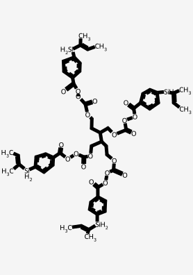 CC=C(C)[SiH2]c1ccc(C(=O)OOC(=O)OCCC(COC(=O)OOC(=O)c2ccc([SiH2]C(C)=CC)cc2)C(CCOC(=O)OOC(=O)c2ccc([SiH2]C(C)=CC)cc2)COC(=O)OOC(=O)c2ccc([SiH2]C(C)=CC)cc2)cc1